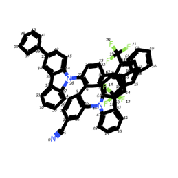 N#Cc1ccc(-c2cc(-c3c(C(F)(F)F)cccc3C(F)(F)F)ccc2-n2c3ccccc3c3cc(-c4ccccc4)ccc32)c(-n2c3ccccc3c3cc(-c4ccccc4)ccc32)c1